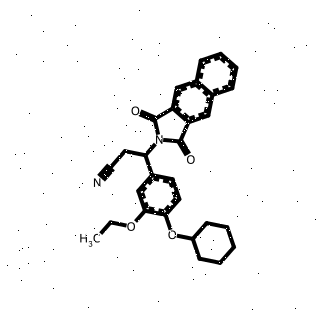 CCOc1cc(C(CC#N)N2C(=O)c3cc4ccccc4cc3C2=O)ccc1OC1CCCCC1